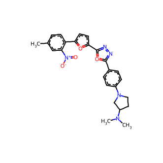 Cc1ccc(-c2ccc(-c3nnc(-c4ccc(N5CCC(N(C)C)C5)cc4)o3)o2)c([N+](=O)[O-])c1